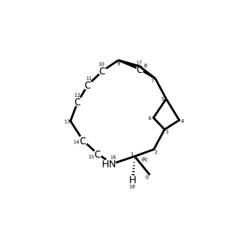 C[C@@H]1CC2CC(C2)C2CC(CCCCCCN1)C2